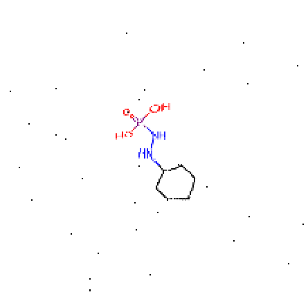 O=P(O)(O)NNC1CCCCC1